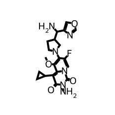 COc1c(N2CCC(C(N)c3cocn3)C2)c(F)cn2c(=O)n(N)c(=O)c(C3CC3)c12